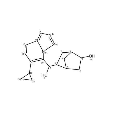 OC1CC2CC1CC2C(O)c1c(C2CC2)ccc2cncn12